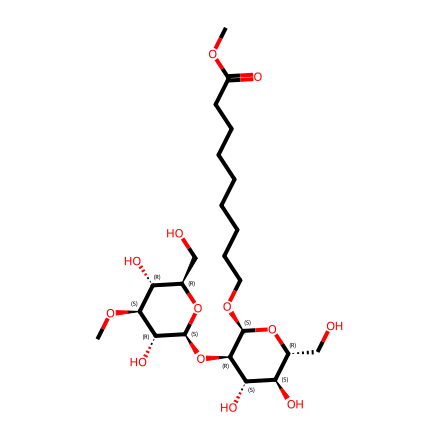 COC(=O)CCCCCCCCO[C@H]1O[C@H](CO)[C@@H](O)[C@H](O)[C@H]1O[C@@H]1O[C@H](CO)[C@@H](O)[C@H](OC)[C@H]1O